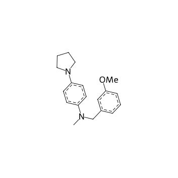 COc1cccc(CN(C)c2ccc(N3CCCC3)cc2)c1